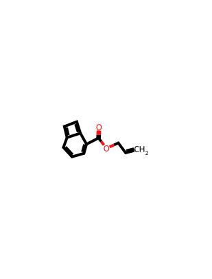 C=CCOC(=O)c1cccc2c1=CC=2